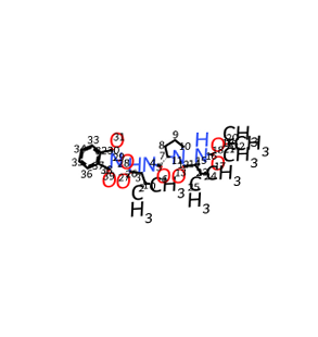 CC(C)[C@H](NC(=O)[C@@H]1CCCN1C(=O)[C@@H](NC(=O)OC(C)(C)C)C(C)C)C(=O)ON1C(=O)c2ccccc2C1=O